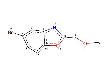 COCc1nc2cc(Br)ccc2o1